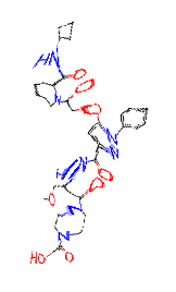 COCC(NC(=O)c1cc(OCC(=O)N2CCCC2C(=O)NC2CCC2)n(-c2ccccc2)n1)C(=O)N1CCN(C(=O)O)CC1